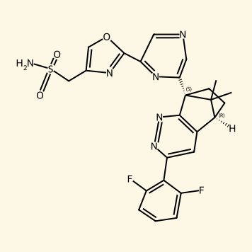 CC1(C)[C@H]2CC[C@]1(c1cncc(-c3nc(CS(N)(=O)=O)co3)n1)c1nnc(-c3c(F)cccc3F)cc12